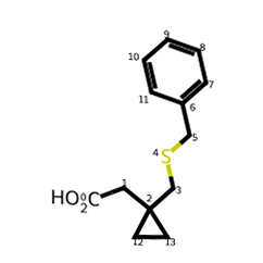 O=C(O)CC1(CSCc2ccccc2)CC1